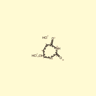 Cl.Cl.Cl.O=c1cccnc(=O)[nH]1